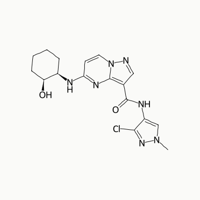 Cn1cc(NC(=O)c2cnn3ccc(N[C@@H]4CCCC[C@@H]4O)nc23)c(Cl)n1